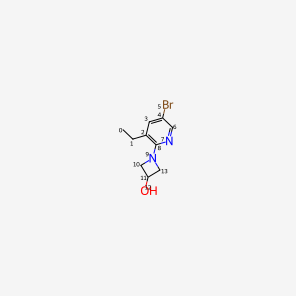 CCc1cc(Br)cnc1N1CC(O)C1